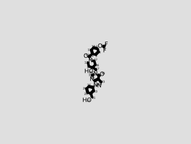 O=C(c1ccc(OC(F)F)cc1)N1CCC(O)(Cn2cnc3c(cnn3-c3cccc(CO)c3)c2=O)CC1